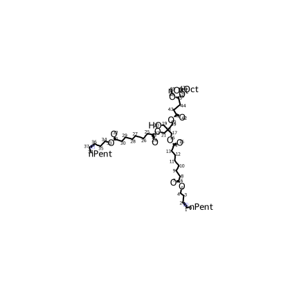 CCCCC/C=C\CCOC(=O)CCCCCCC(=O)OCC(CO)(COC(=O)CCCCCCC(=O)OCC/C=C\CCCCC)COC(=O)CCC(OCCCCCCCC)OCCCCCCCC